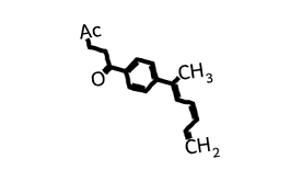 C=C/C=C\C=C(/C)c1ccc(C(=O)CCC(C)=O)cc1